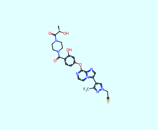 C[C@@H](O)C(=O)N1CCN(C(=O)c2ccc(Oc3nccn4c(-c5cn(CC#P)nc5C(F)(F)F)cnc34)cc2O)CC1